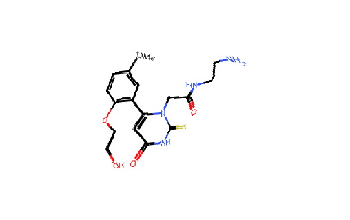 COc1ccc(OCCO)c(-c2cc(=O)[nH]c(=S)n2CC(=O)NCCN)c1